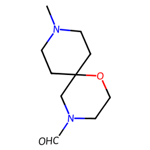 CN1CCC2(CC1)CN(C=O)CCO2